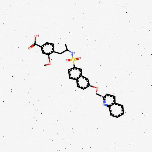 COc1cc(C(=O)O)ccc1CC(C)NS(=O)(=O)c1ccc2ccc(OCc3ccc4ccccc4n3)cc2c1